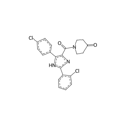 O=C1CCN(C(=O)c2nc(-c3ccccc3Cl)[nH]c2-c2ccc(Cl)cc2)CC1